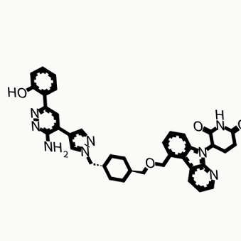 Nc1nnc(-c2ccccc2O)cc1-c1cnn(C[C@H]2CC[C@H](COCc3cccc4c3c3cccnc3n4C3CCC(=O)NC3=O)CC2)c1